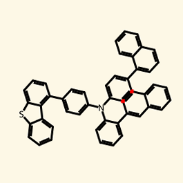 c1ccc(N(c2ccc(-c3cccc4ccccc34)cc2)c2ccc(-c3cccc4sc5ccccc5c34)cc2)c(-c2ccc3ccccc3c2)c1